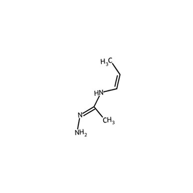 C/C=C\N/C(C)=N/N